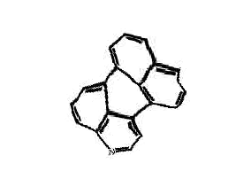 c1cc2cccc3c4ccnc5cccc(c(c1)c23)c54